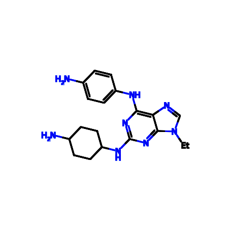 CCn1cnc2c(Nc3ccc(N)cc3)nc(NC3CCC(N)CC3)nc21